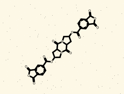 O=C(OC1CC2C(=O)N3CC(OC(=O)c4ccc5c(c4)C(=O)OC5=O)CC3C(=O)N2C1)c1ccc2c(c1)C(=O)OC2=O